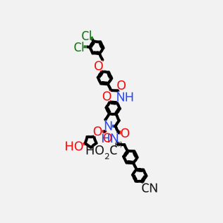 N#Cc1ccc(-c2ccc(C[C@H](NC(=O)C3Cc4cc5c(cc4CN3C(=O)OC3CCC(O)C3)OC(c3ccc(OCc4ccc(Cl)c(Cl)c4)cc3)C(=O)N5)C(=O)O)cc2)cc1